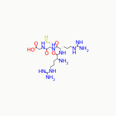 N=C(N)NCCC[C@H](NC(=O)[C@@H](N)CCCNC(=N)N)C(=O)N[C@@H](CS)C(=O)NCC(=O)O